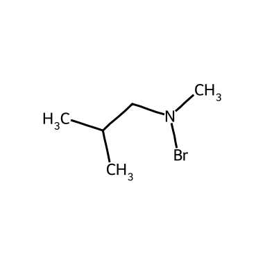 CC(C)CN(C)Br